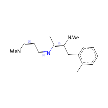 CN\C=C/C=N\C(C)=C(/Cc1ccccc1C)NC